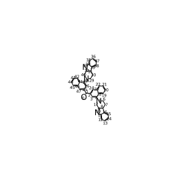 O=C(c1cc(N2CCC3C(=Nc4ccccc43)C2)c2ccccc2c1)c1cc(N2CCC3C(=Nc4ccccc43)C2)c2ccccc2c1